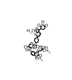 CN(c1ncc(Cl)c(Nc2ccc3c(c2)n(CCC(C)(C)O)c(=O)n3C)n1)C1CCN(c2ccc3c(C4CCC(=O)NC4=O)nn(C)c3n2)CC1